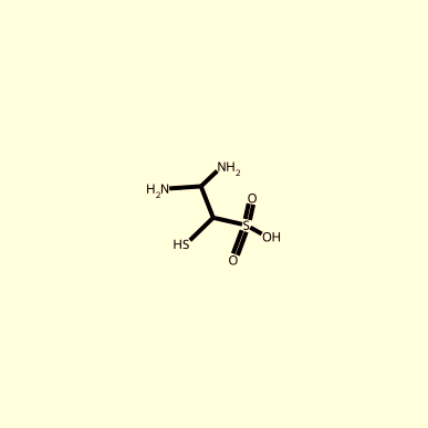 NC(N)C(S)S(=O)(=O)O